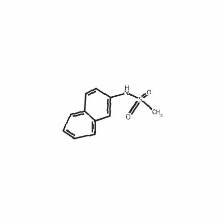 CS(=O)(=O)Nc1ccc2c[c]ccc2c1